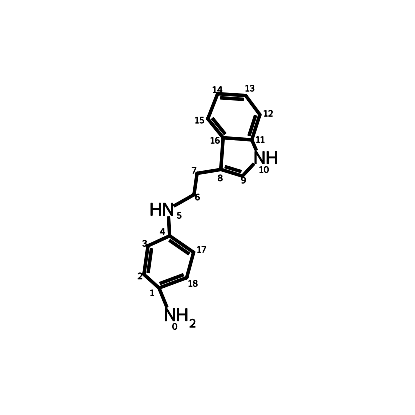 Nc1ccc(NCCc2c[nH]c3ccccc23)cc1